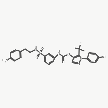 Nc1ccc(CCNS(=O)(=O)c2cccc(NC(=O)Oc3cnn(-c4ccc(Cl)cc4)c3C(F)(F)F)c2)cc1